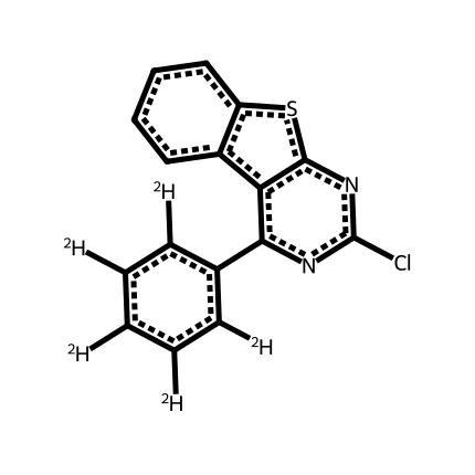 [2H]c1c([2H])c([2H])c(-c2nc(Cl)nc3sc4ccccc4c23)c([2H])c1[2H]